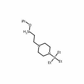 CC[Si](CC)(CC)N1CCN(CC[SiH2]OC(C)C)CC1